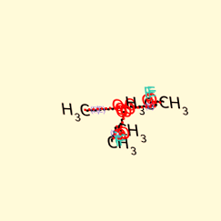 CCCC/C=C/C/C=C/CCCCCCCC(=O)OCC(COC(=O)CCCCCCC/C=C/C1C=CC(CCCC)CC1(C)C(=O)OCC(F)(F)F)OC(=O)CCCCCCCC1C=CC(/C=C/CCCC)CC1(C)C(=O)OCC(F)(F)F